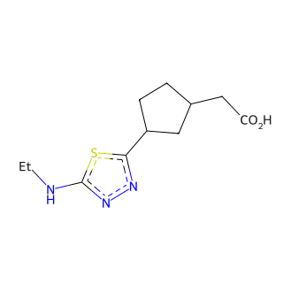 CCNc1nnc(C2CCC(CC(=O)O)C2)s1